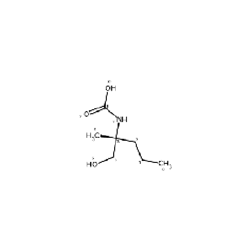 CCC[C@](C)(CO)NC(=O)O